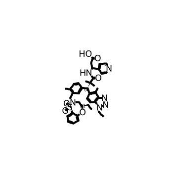 CC[C@@H]1CN(Cc2cc([C@@H](c3ccc4c(nnn4CC)c3C)C(C)(C)C(=O)NC(CC(=O)O)c3ccncc3)ccc2C)S(=O)(=O)c2ccccc2O1